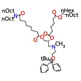 CCCCCCCCC(CCCCCC)OC(=O)CCCCC(=O)OC(COC(=O)CCCCCCC(=O)N(CCCCCCCC)CCCCCCCC)CN(C)CCO[Si](c1ccccc1)(c1ccccc1)C(C)(C)C